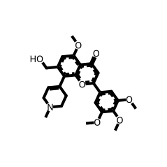 COc1cc(-c2cc(=O)c3c(OC)cc(CO)c(C4=CCN(C)CC4)c3o2)cc(OC)c1OC